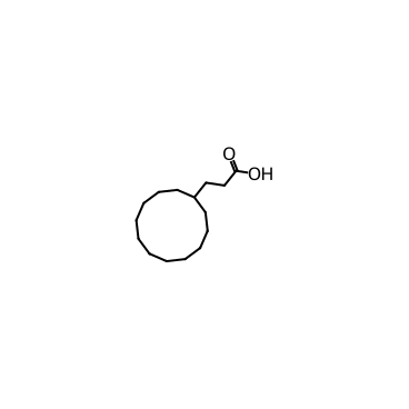 O=C(O)CCC1CCCCCCCCCCC1